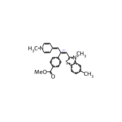 COC(=O)c1ccc(/C(C=C2C=CN(C)C=C2)=C\c2sc3ccc(C)cc3[n+]2C)cc1